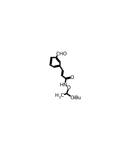 CC(C)COC(C)ONC(=O)C=Cc1cccc(C=O)c1